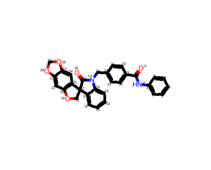 O=C(Nc1ccccc1)c1ccc(CN2C(=O)C3(COc4cc5c(cc43)OCO5)c3ccccc32)cc1